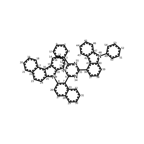 c1ccc(-c2nc(-c3c(-n4c5ccccc5c5c6ccccc6ccc54)ccc4ccccc34)nc(-c3cccc4c3c3ccccc3n4-c3ccccc3)n2)cc1